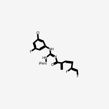 C=C(/C=C\C(F)=C\F)C(=O)/N=C(/Nc1cc(F)cc(Cl)c1)NC(C)CCC